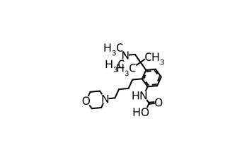 CN(C)CC(C)(C)c1cccc(NC(=O)O)c1CCCCN1CCOCC1